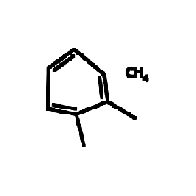 C.Cc1ccccc1C